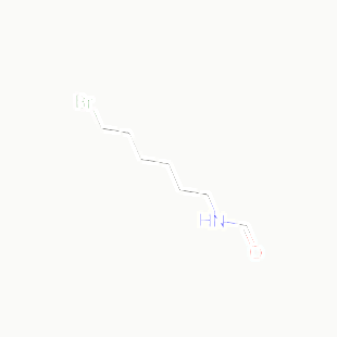 O=CNCCCCCCBr